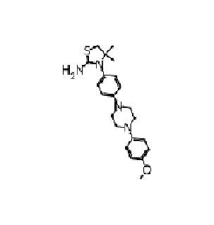 COc1ccc(N2CCN(c3ccc(N4C(N)SCC4(C)C)cc3)CC2)cc1